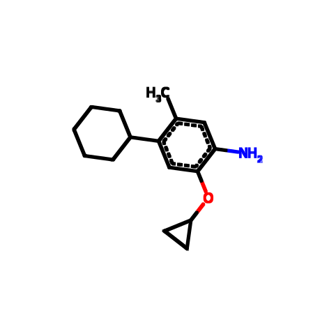 Cc1cc(N)c(OC2CC2)cc1C1CCCCC1